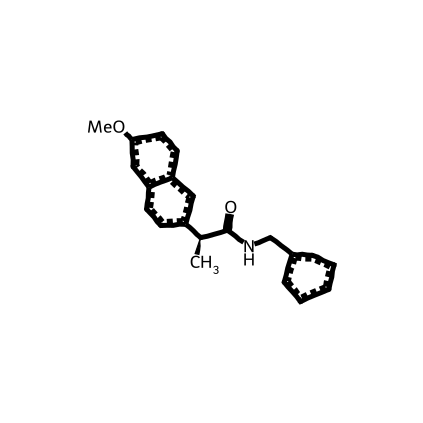 COc1ccc2cc([C@H](C)C(=O)NCc3ccccc3)ccc2c1